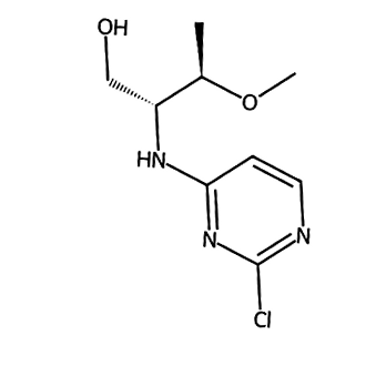 CO[C@H](C)[C@@H](CO)Nc1ccnc(Cl)n1